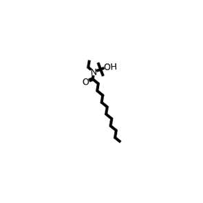 CCCCCCCCCCCC(=O)N(CC)C(C)(C)O